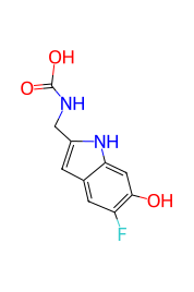 O=C(O)NCc1cc2cc(F)c(O)cc2[nH]1